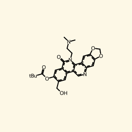 CN(C)CCn1c(=O)c2cc(OC(=O)C(C)(C)C)c(CO)cc2c2cnc3cc4c(cc3c21)OCO4